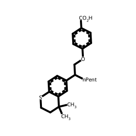 CCCCCC(COc1ccc(C(=O)O)cc1)c1ccc2c(c1)C(C)(C)CCS2